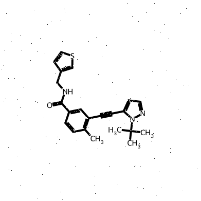 Cc1ccc(C(=O)NCc2ccsc2)cc1C#Cc1ccnn1C(C)(C)C